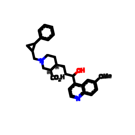 COc1ccc2nccc(C(O)CC[C@@H]3CCN(CC4CC4c4ccccc4)C[C@@H]3C(=O)O)c2c1